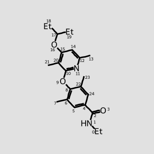 CCNC(=O)c1cc(C)c(Oc2nc(C)cc(OC(CC)CC)c2C)c(C)c1